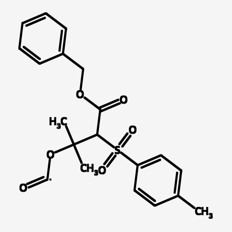 Cc1ccc(S(=O)(=O)C(C(=O)OCc2ccccc2)C(C)(C)O[C]=O)cc1